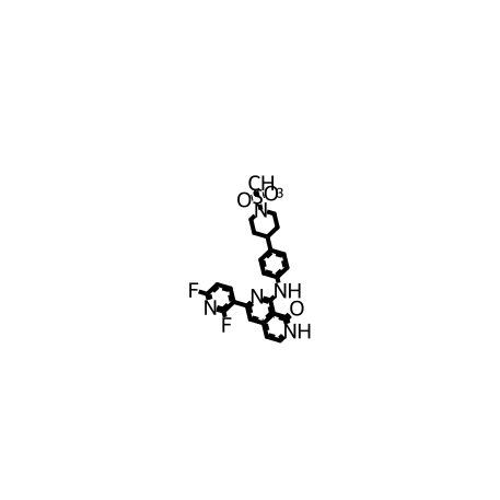 CS(=O)(=O)N1CCC(c2ccc(Nc3nc(-c4ccc(F)nc4F)cc4cc[nH]c(=O)c34)cc2)CC1